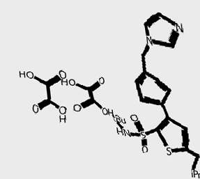 CC(C)Cc1cc(-c2ccc(Cn3ccnc3)cc2)c(S(=O)(=O)NC(C)(C)C)s1.O=C(O)C(=O)O.O=C(O)C(=O)O